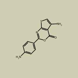 Nc1ccc(-c2nc3scc(N)c3c(=O)o2)cc1